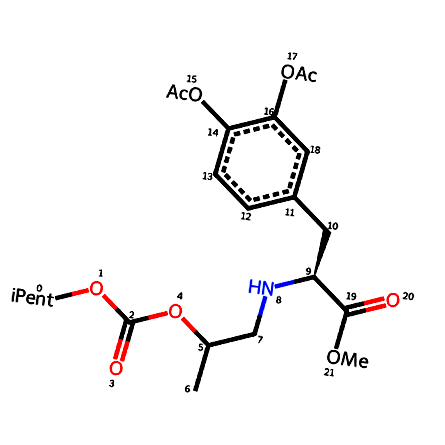 CCCC(C)OC(=O)OC(C)CN[C@@H](Cc1ccc(OC(C)=O)c(OC(C)=O)c1)C(=O)OC